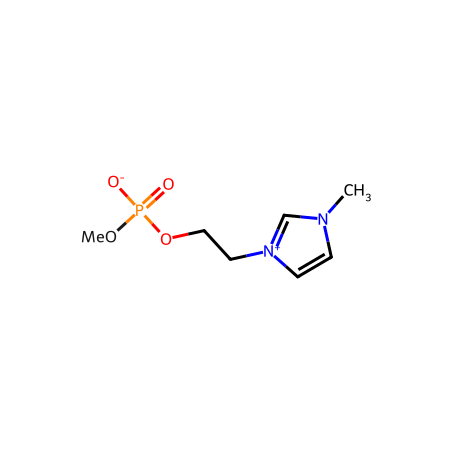 COP(=O)([O-])OCC[n+]1ccn(C)c1